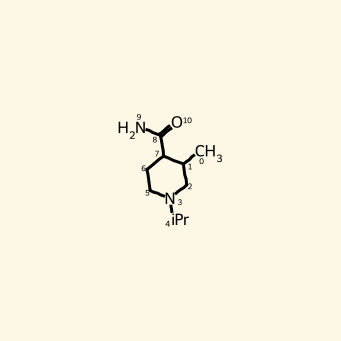 CC1CN(C(C)C)CCC1C(N)=O